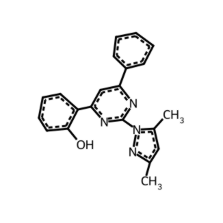 Cc1cc(C)n(-c2nc(-c3ccccc3)cc(-c3ccccc3O)n2)n1